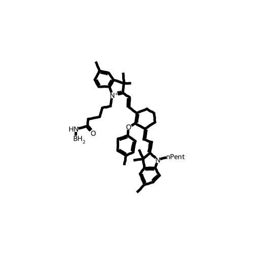 BNC(=O)CCCC[N+]1=C(/C=C/C2=C(Oc3ccc(C)cc3)C(=C/C=C3/N(CCCCC)c4ccc(C)cc4C3(C)C)/CCC2)C(C)(C)c2cc(C)ccc21